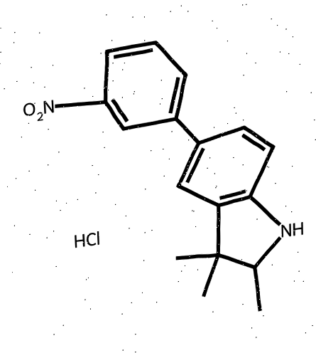 CC1Nc2ccc(-c3cccc([N+](=O)[O-])c3)cc2C1(C)C.Cl